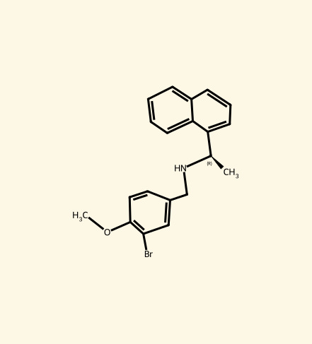 COc1ccc(CN[C@H](C)c2cccc3ccccc23)cc1Br